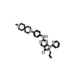 C=CCn1c(=O)c2cnc(Nc3ccc(N4CCC5(CCN(C)CC5)CC4)cc3)nc2n1-c1ccccn1